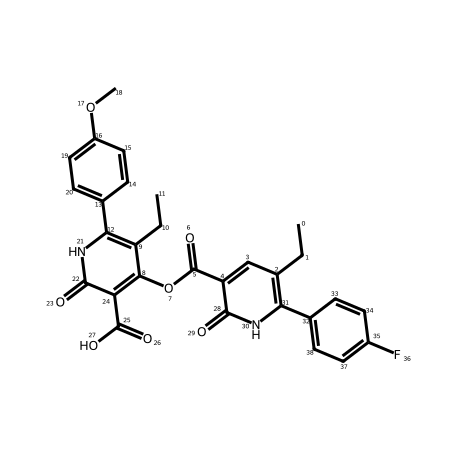 CCc1cc(C(=O)Oc2c(CC)c(-c3ccc(OC)cc3)[nH]c(=O)c2C(=O)O)c(=O)[nH]c1-c1ccc(F)cc1